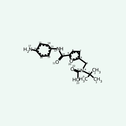 CC(C)(C)N(Cc1ccc(C(=O)Nc2ccc(N)cc2)o1)C(=O)O